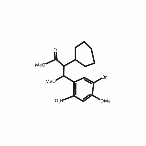 COC(=O)C(C1CCCCC1)C(OC)c1cc(Br)c(OC)cc1[N+](=O)[O-]